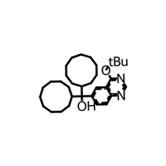 CC(C)(C)Oc1ncnc2ccc(C(O)(C3CCCCCCCCC3)C3CCCCCCCCC3)cc12